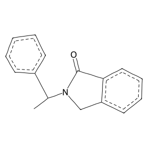 CC(c1ccccc1)N1Cc2ccccc2C1=O